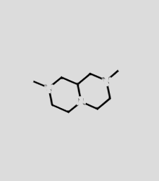 CN1CCN2CCN(C)CC2C1